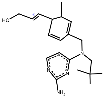 CC1C=C(CN(CC(C)(C)C)c2ccnc(N)n2)C=CC1/C=C/CO